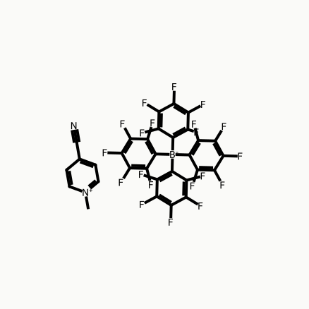 C[n+]1ccc(C#N)cc1.Fc1c(F)c(F)c([B-](c2c(F)c(F)c(F)c(F)c2F)(c2c(F)c(F)c(F)c(F)c2F)c2c(F)c(F)c(F)c(F)c2F)c(F)c1F